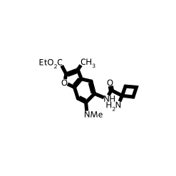 CCOC(=O)c1oc2cc(NC)c(NC(=O)C3(N)CCC3)cc2c1C